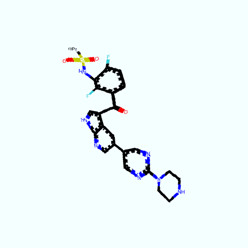 CCCS(=O)(=O)Nc1c(F)ccc(C(=O)c2c[nH]c3ncc(-c4cnc(N5CCNCC5)nc4)cc23)c1F